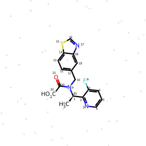 C[C@H](c1ncccc1F)N(Cc1ccc2scnc2c1)C(=O)C(=O)O